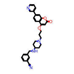 N#Cc1cccc(CNC2CCN(CCCOc3cc(=O)oc4cc(-c5cccnc5)ccc34)CC2)c1